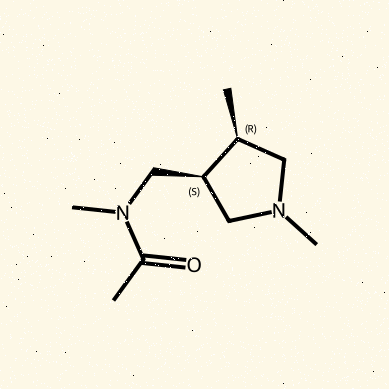 CC(=O)N(C)C[C@@H]1CN(C)C[C@@H]1C